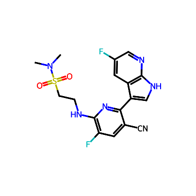 CN(C)S(=O)(=O)CCNc1nc(-c2c[nH]c3ncc(F)cc23)c(C#N)cc1F